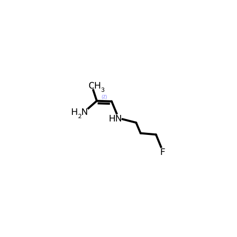 C/C(N)=C/NCCCF